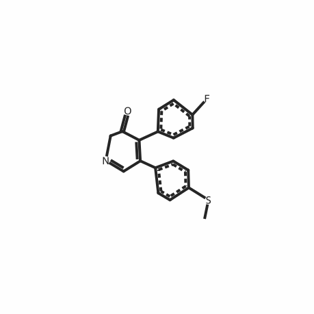 CSc1ccc(C2=C(c3ccc(F)cc3)C(=O)CN=C2)cc1